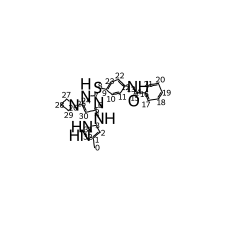 CC1=CC(NC2=NC(Sc3ccc(NC(=O)c4ccccc4)cc3)NC(N3CCC3)=C2)NN1